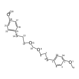 COc1ccc(SCCOCOCCSc2ccc(OC)cc2)cc1